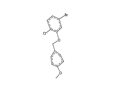 COc1ccc(COc2cc(Br)ccc2Cl)cc1